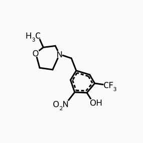 CC1CN(Cc2cc([N+](=O)[O-])c(O)c(C(F)(F)F)c2)CCO1